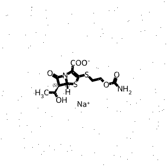 CC(O)[C@H]1C(=O)N2C(C(=O)[O-])=C(SCCOC(N)=O)S[C@H]12.[Na+]